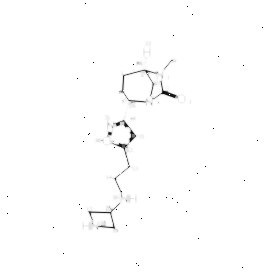 CN1C(=O)N2C[C@H]1CC[C@H]2c1cc(CCNC2CNC2)on1